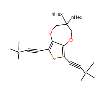 CCCCCCC1(CCCCCC)COc2c(C#C[Si](C)(C)C)sc(C#C[Si](C)(C)C)c2OC1